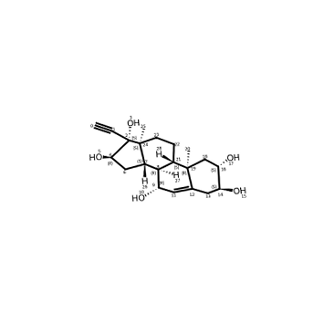 C#C[C@]1(O)[C@H](O)C[C@H]2[C@@H]3[C@@H](O)C=C4C[C@H](O)[C@@H](O)C[C@]4(C)[C@H]3CC[C@@]21C